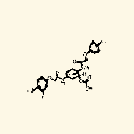 COC(=O)O[C@H]1CC2(NC(=O)COc3ccc(Cl)c(F)c3)CCC1(NC(=O)COc1ccc(Cl)c(F)c1)CC2